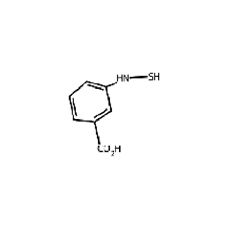 O=C(O)c1cccc(NS)c1